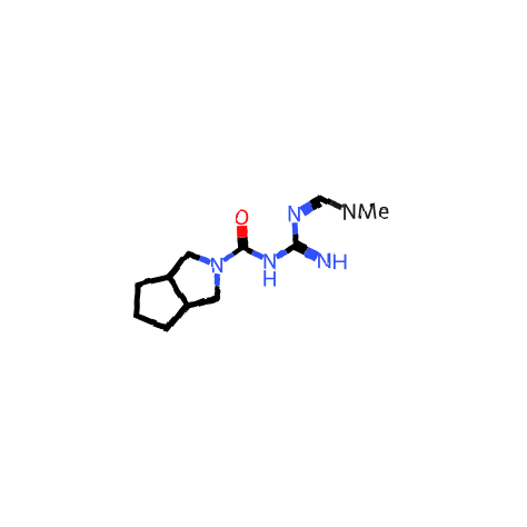 CN/C=N\C(=N)NC(=O)N1CC2CCCC2C1